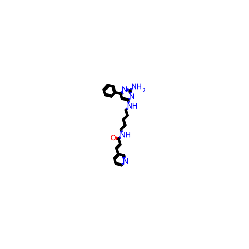 Nc1nc(NCCCCCNC(=O)/C=C/c2cccnc2)cc(-c2ccccc2)n1